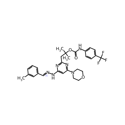 Cc1cccc(/C=N/Nc2cc(N3CCOCC3)nc(CC(C)(C)OC(=O)Nc3ccc(C(F)(F)F)cc3)n2)c1